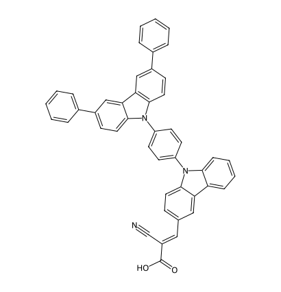 N#C/C(=C\c1ccc2c(c1)c1ccccc1n2-c1ccc(-n2c3ccc(-c4ccccc4)cc3c3cc(-c4ccccc4)ccc32)cc1)C(=O)O